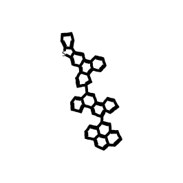 c1cc2ccc3cccc4c(-c5cc6c7ccccc7c(-c7ccc8c(c7)c7ccccc7c7cc9c(cc87)sc7ccccc79)cc6c6ccccc56)cc(c1)c2c34